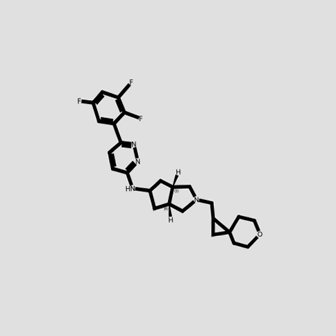 Fc1cc(F)c(F)c(-c2ccc(NC3C[C@@H]4CN(CC5CC56CCOCC6)C[C@@H]4C3)nn2)c1